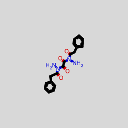 NN(C(=O)Cc1ccccc1)C(=O)C(=O)N(N)C(=O)Cc1ccccc1